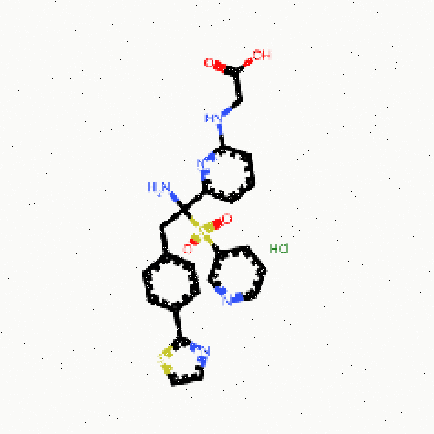 Cl.NC(Cc1ccc(-c2nccs2)cc1)(c1cccc(NCC(=O)O)n1)S(=O)(=O)c1cccnc1